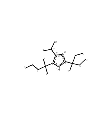 CCCC(C)(C)c1[nH]c(C(C)(CC)CC)nc1C(C)C